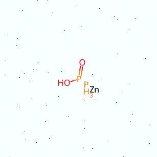 O=PO.P.[Zn]